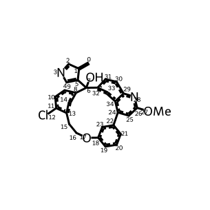 C=C1C=NC=C1C1(O)c2ccc(Cl)c(c2)CCOc2cccc(c2)-c2cc(OC)nc3ccc1cc23